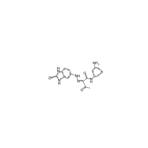 CC(=O)/C(=N/Nc1ccc2[nH]c(=O)[nH]c2c1)C(=O)Nc1cccc(N)c1